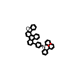 c1ccc(-c2ccccc2N(c2ccccc2)c2ccc(-c3cccc4c5ccc6oc7ccccc7c6c5c5ccccc5c34)cc2)cc1